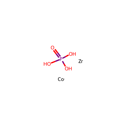 O=P(O)(O)O.[Co].[Zr]